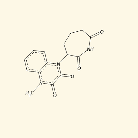 Cn1c(=O)c(=O)n(C2CCCC(=O)NC2=O)c2ccccc21